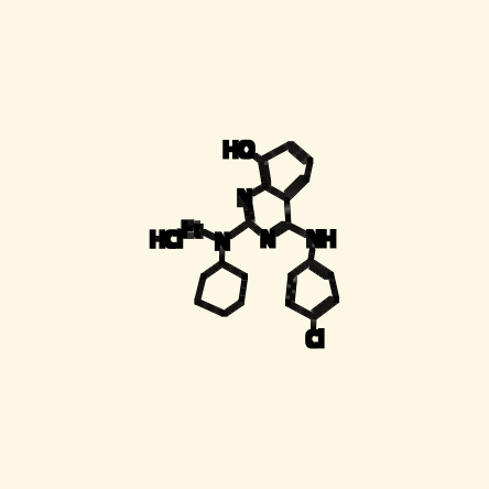 CCN(c1nc(Nc2ccc(Cl)cc2)c2cccc(O)c2n1)C1CCCCC1.Cl